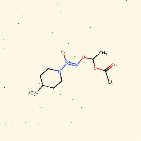 CCC(=O)OC(C)O/N=[N+](\[O-])N1CCC(C(=O)O)CC1